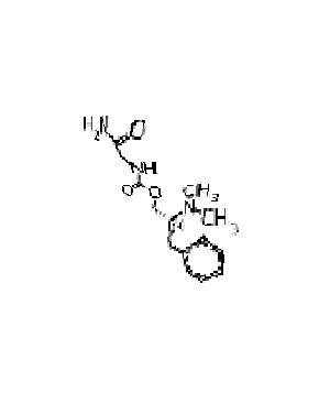 CN(C)[C@@H](COC(=O)NCC(N)=O)Cc1ccccc1